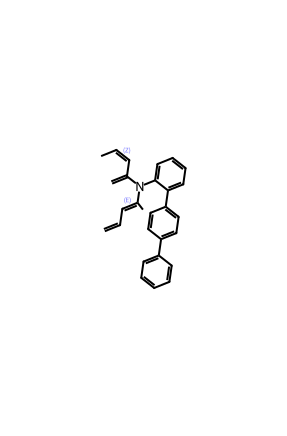 C=C/C=C(\C)N(C(=C)/C=C\C)c1ccccc1-c1ccc(-c2ccccc2)cc1